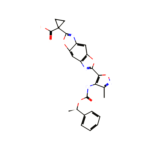 Cc1noc(-c2nc3cc4oc(C5(C(=O)O)CC5)nc4cc3o2)c1NC(=O)O[C@H](C)c1ccccc1